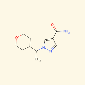 CC(C1CCOCC1)n1cc(C(N)=O)cn1